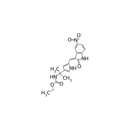 CCOC(=O)NC(C)(C)c1c[nH]c(/C=C2\C(=O)Nc3ccc([N+](=O)[O-])cc32)c1